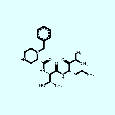 CC(C)C(=O)[C@H](CCN)NC(=O)[C@@H](NC(=O)[C@@H]1CNCCN1Cc1ccccc1)[C@H](C)O